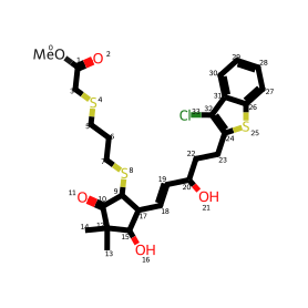 COC(=O)CSCCCSC1C(=O)C(C)(C)C(O)C1/C=C/C(O)CCc1sc2ccccc2c1Cl